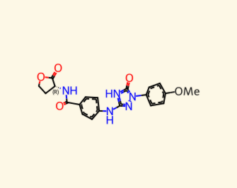 COc1ccc(-n2nc(Nc3ccc(C(=O)N[C@@H]4CCOC4=O)cc3)[nH]c2=O)cc1